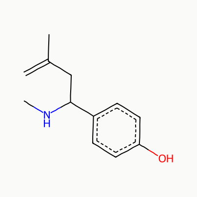 C=C(C)CC(NC)c1ccc(O)cc1